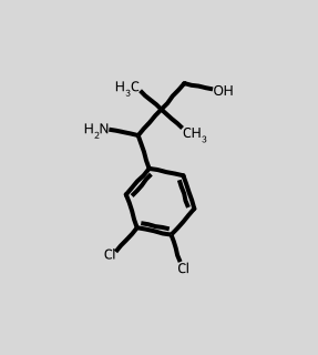 CC(C)(CO)C(N)c1ccc(Cl)c(Cl)c1